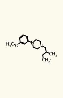 [CH2]CC(C)CN1CCN(c2cccc(OC)c2)CC1